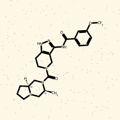 C[C@H]1CN2CCC[C@H]2CN1C(=O)N1CCc2[nH]nc(NC(=O)c3cccc(OC(F)(F)F)c3)c2C1